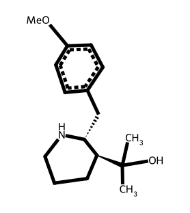 COc1ccc(C[C@H]2NCCC[C@@H]2C(C)(C)O)cc1